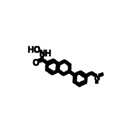 CN(C)Cc1cccc(C2CCc3cc(C(=O)NO)ccc3C2)c1